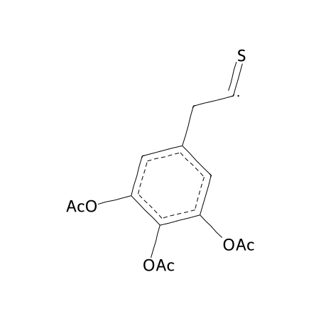 CC(=O)Oc1cc(C[C]=S)cc(OC(C)=O)c1OC(C)=O